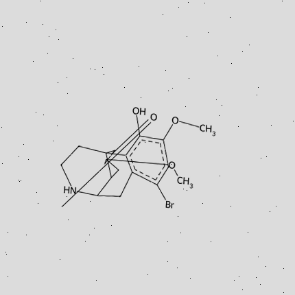 COc1cc(Br)c2c(c1O)C13CCNC(C2)C1CC(OC)C(=O)C3